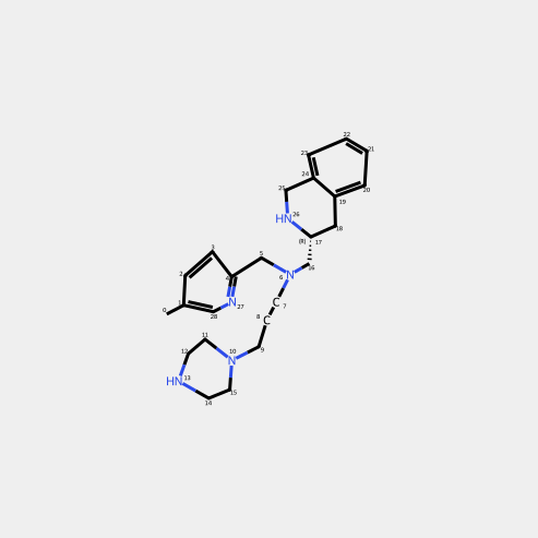 Cc1ccc(CN(CCCN2CCNCC2)C[C@H]2Cc3ccccc3CN2)nc1